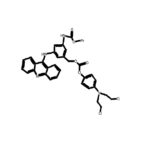 CC(C)OC(=O)Nc1cc(COC(=O)Oc2ccc(N(CCCl)CCCl)cc2)cc(Nc2c3ccccc3nc3ccccc23)c1